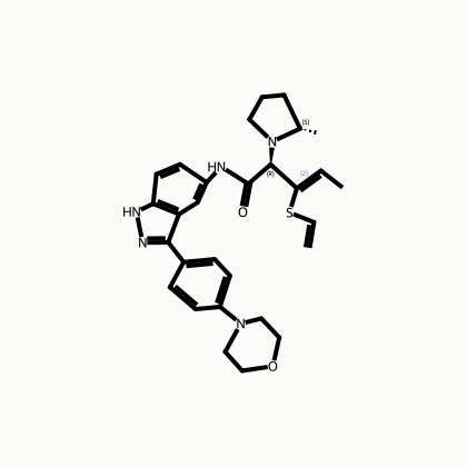 C=CS/C(=C\C)[C@@H](C(=O)Nc1ccc2[nH]nc(-c3ccc(N4CCOCC4)cc3)c2c1)N1CCC[C@@H]1C